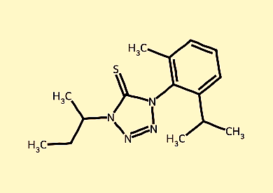 CCC(C)n1nnn(-c2c(C)cccc2C(C)C)c1=S